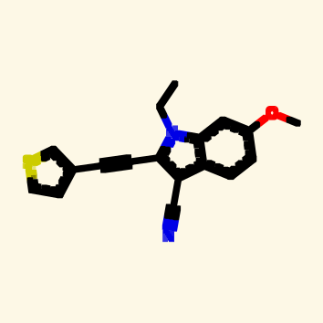 CCn1c(C#Cc2ccsc2)c(C#N)c2ccc(OC)cc21